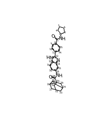 O=C(NC1CCCC1)c1ccc(-c2nc3cc(NC(=O)C45CC6CC(CC(C6)C4)C5)ccc3[nH]2)cc1